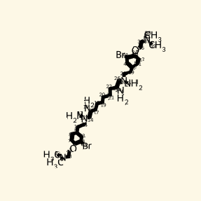 CN(C)CCOc1ccc(CCN(N)/C=C(\N)CCCCCC/C(N)=C/N(N)CCc2ccc(OCCN(C)C)c(Br)c2)cc1Br